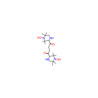 CC1(C)CNC(C(=O)CCC(=O)C2NCC(C)(C)N(O)C2(C)C)C(C)(C)N1O